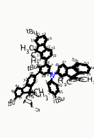 CC(C)(C)c1ccc(N(c2cc(-c3ccc4c(c3)C(C)(C)c3cc(C(C)(C)C)ccc3-4)c(C(C)(C)C)c(-c3ccc4c(c3)C(C)(C)c3cc(C(C)(C)C)ccc3-4)c2)c2ccc3c(c2)C(C)(C)c2ccccc2-3)cc1